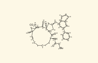 CC(C)(C)OC(=O)N[C@H]1CCCCCC=C[C@@H]2C[C@@]2(C(=O)O)NC(=O)[C@@H]2C[C@@H](Oc3cc(-c4ccccn4)nc4ccsc34)CN2C1=O